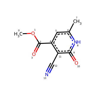 COC(=O)c1cc(C)[nH]c(=O)c1C#N